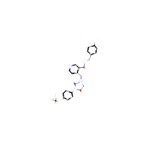 O=C(NCc1ccc(Cl)cc1)c1cnccc1CN1CC(=O)N(c2ccc(SC(F)(F)F)cc2)C1=O